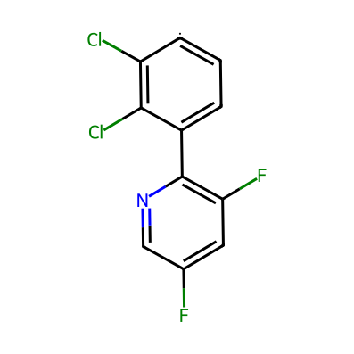 Fc1cnc(-c2cc[c]c(Cl)c2Cl)c(F)c1